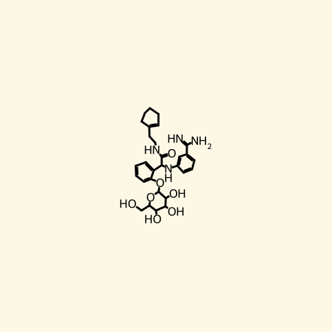 N=C(N)c1cccc(NC(C(=O)NCCC2=CCCCC2)c2ccccc2OC2OC(CO)C(O)C(O)C2O)c1